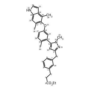 CCOC(=O)CCc1cccc(Cc2nc(-c3cc(Oc4c(F)cc5[nH]ccc5c4C)ccc3F)n(C)n2)c1